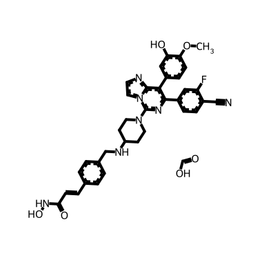 COc1ccc(-c2c(-c3ccc(C#N)c(F)c3)nc(N3CCC(NCc4ccc(/C=C/C(=O)NO)cc4)CC3)n3ccnc23)cc1O.O=CO